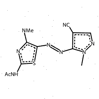 CNc1nc(NC(C)=O)sc1/N=N/c1c(C#N)cnn1C